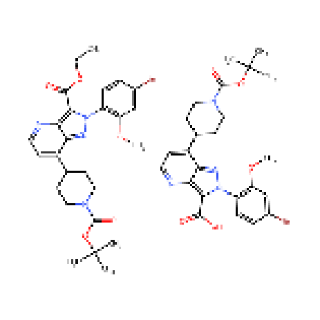 CCOC(=O)c1c2nccc(C3CCN(C(=O)OC(C)(C)C)CC3)c2nn1-c1ccc(Br)cc1OC.COc1cc(Br)ccc1-n1nc2c(C3CCN(C(=O)OC(C)(C)C)CC3)ccnc2c1C(=O)O